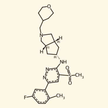 Cc1ccc(F)cc1-c1cc(S(C)(=O)=O)c(N[C@@H]2C[C@@H]3CN(CC4CCOCC4)C[C@@H]3C2)nn1